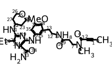 CC#CC(=O)N(C)CCC(=O)NCCc1cc(Nc2nc(NC3CCOCC3)c(CC)nc2C(N)=O)cc(OC)c1